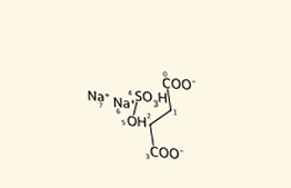 O=C([O-])CCC(=O)[O-].O=S(=O)(O)O.[Na+].[Na+]